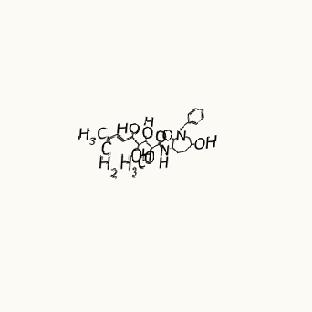 C=C(C)/C=C/[C@@H](O)[C@H](O)[C@@H](O)[C@@H](OC)C(=O)N[C@H]1CC[C@H](O)CN(Cc2ccccc2)C1=O